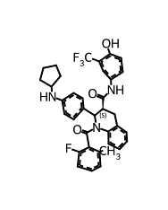 Cc1cccc(F)c1C(=O)N1c2ccccc2C[C@H](C(=O)Nc2ccc(O)c(C(F)(F)F)c2)C1c1ccc(NC2CCCC2)cc1